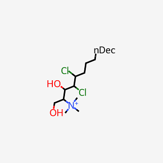 CCCCCCCCCCCCCC(Cl)C(Cl)C(O)C(CO)[N+](C)(C)C